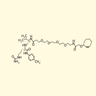 [CH2]c1ccc(NC(=O)[C@H](CCCNC(N)=O)NC[C@@H](NC(=O)CCOCCOCCOCCOCCNC(=O)COC2C#CCCCCC2)C(C)C)cc1